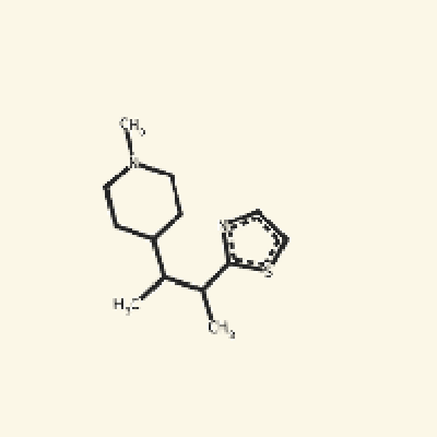 CC(c1nccs1)C(C)C1CCN(C)CC1